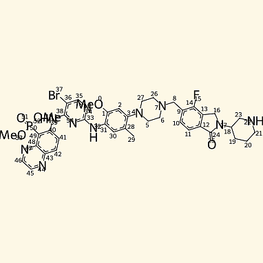 COc1cc(N2CCN(Cc3ccc4c(c3F)CN(C3CCCNC3)C4=O)CC2)c(C)cc1Nc1ncc(Br)c(Nc2ccc3nccnc3c2P(=O)(OC)OC)n1